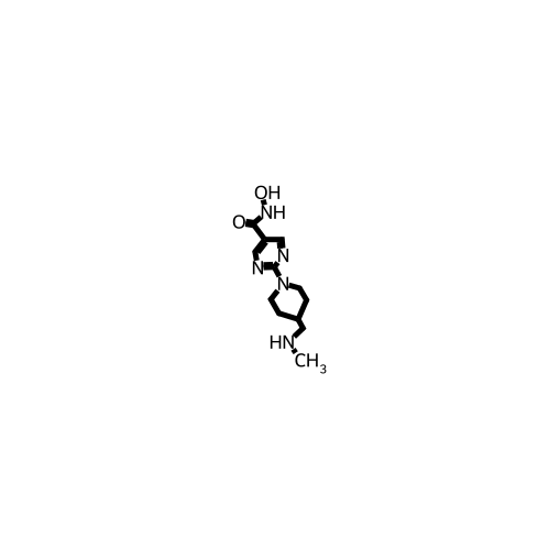 CNCC1CCN(c2ncc(C(=O)NO)cn2)CC1